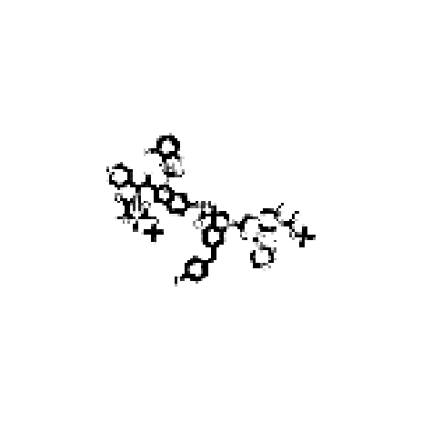 C[C@@H]1COCCN1C[C@H]1CN(C(=O)OC(C)(C)C)[C@H](C)CN1CC(=O)N1CC(C)(C(=O)Nc2ccc3c(c2)[C@@H](C(=O)Nc2c(F)cccc2F)C(C(=O)C(NC(=O)[C@H](C)N(C)C(=O)OC(C)(C)C)C2CCOCC2)C3)c2ccc(Cc3ccc(F)cc3)cc21